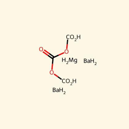 O=C(O)OC(=O)OC(=O)O.[BaH2].[BaH2].[MgH2]